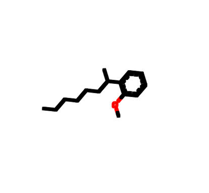 CCCCCCC(C)c1ccccc1OC